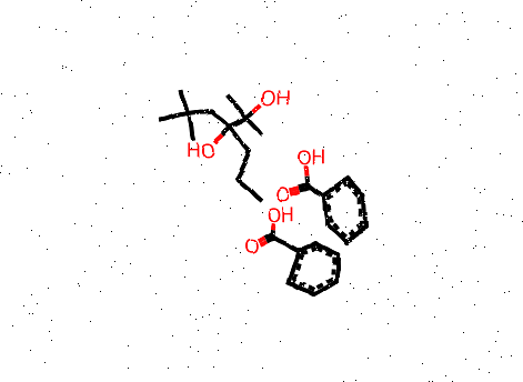 CCCC(O)(CC(C)(C)C)C(C)(C)O.O=C(O)c1ccccc1.O=C(O)c1ccccc1